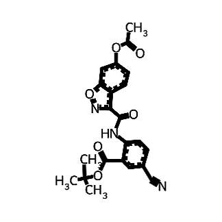 CC(=O)Oc1ccc2c(C(=O)Nc3ccc(C#N)cc3C(=O)OC(C)(C)C)noc2c1